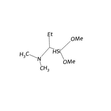 CCC(N(C)C)[SiH](OC)OC